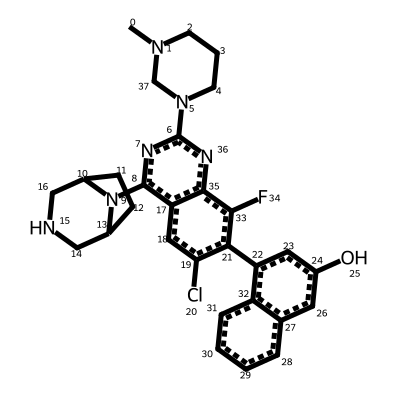 CN1CCCN(c2nc(N3C4CCC3CNC4)c3cc(Cl)c(-c4cc(O)cc5ccccc45)c(F)c3n2)C1